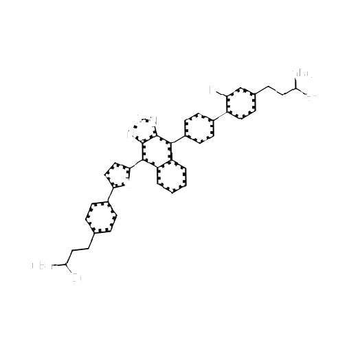 CCCCC(CC)CCc1ccc(-c2ccc(-c3c4ccccc4c(-c4ccc(-c5ccc(CCC(CC)CCCC)cc5F)cc4)c4nsnc34)s2)cc1